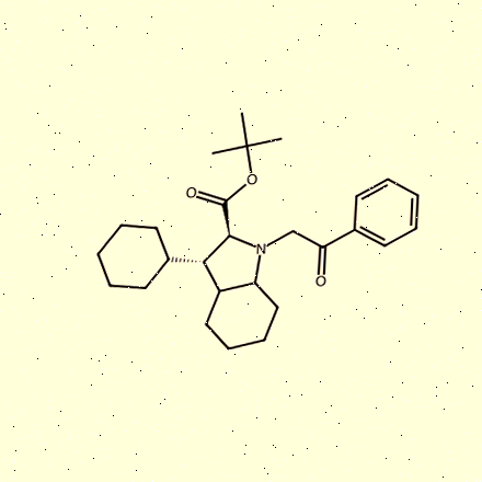 CC(C)(C)OC(=O)[C@@H]1[C@@H](C2CCCCC2)C2CCCCC2N1CC(=O)c1ccccc1